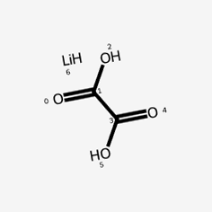 O=C(O)C(=O)O.[LiH]